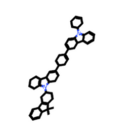 CC1(C)C2=C(CC(N3C4=C(CCCC4)C4C=C(C5CC=C(C6=CC=C7C(C6)C6C=CC=CC6N7C6CC=CCC6)CC5)CCC43)CC2)C2C=CC=CC21